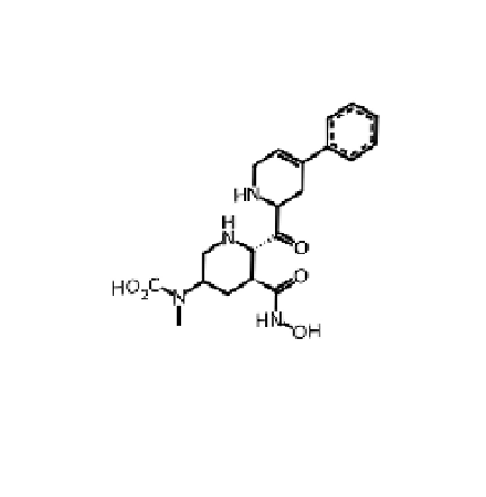 CN(C(=O)O)C1CN[C@H](C(=O)C2CC(c3ccccc3)=CCN2)[C@@H](C(=O)NO)C1